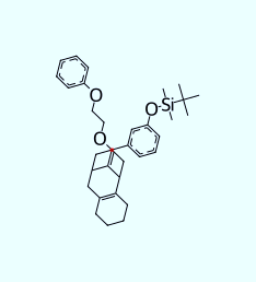 CC(C)(C)[Si](C)(C)Oc1cccc(/C(OCCOc2ccccc2)=C2/C3CCCC2C2=C(CCCC2)C3)c1